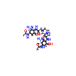 CC(=O)Nc1cc(N)c(NC(=O)CN2CC[N+](C)(CC(=O)Nc3c(N)cc(NC(C)=O)cc3O)CC2)c(O)c1